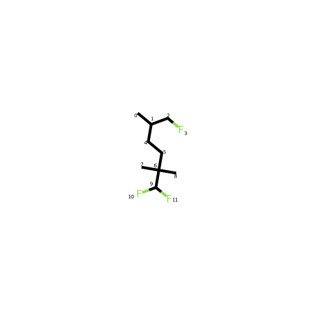 CC(CF)CCC(C)(C)C(F)F